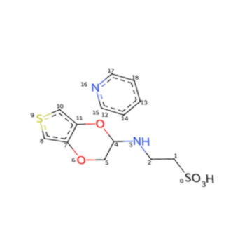 O=S(=O)(O)CCNC1COc2cscc2O1.c1ccncc1